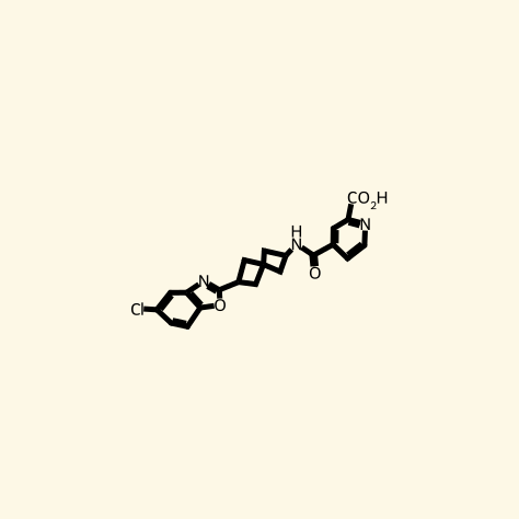 O=C(NC1CC2(C1)CC(c1nc3cc(Cl)ccc3o1)C2)c1ccnc(C(=O)O)c1